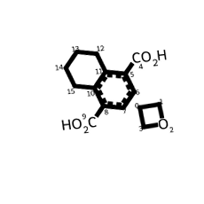 C1COC1.O=C(O)c1ccc(C(=O)O)c2c1CCCC2